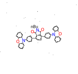 CCCCN1C(=O)c2c(-c3ccc(N4c5ccccc5Oc5ccccc54)cc3)ccc(-c3ccc(N4c5ccccc5Oc5ccccc54)cc3)c2C1=O